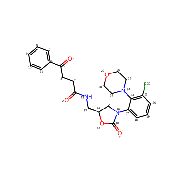 O=C(CCC(=O)c1ccccc1)NC[C@H]1CN(c2cccc(F)c2N2CCOCC2)C(=O)O1